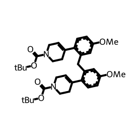 COc1ccc(C2=CCN(C(=O)OC(C)(C)C)CC2)c(Cc2cc(OC)ccc2C2=CCN(C(=O)OC(C)(C)C)CC2)c1